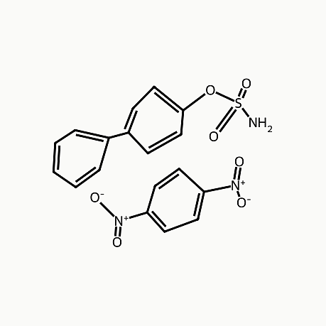 NS(=O)(=O)Oc1ccc(-c2ccccc2)cc1.O=[N+]([O-])c1ccc([N+](=O)[O-])cc1